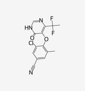 Cc1cc(C#N)cc(Cl)c1Oc1c(C(C)(F)F)nc[nH]c1=O